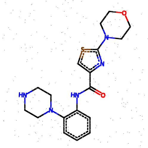 O=C(Nc1ccccc1N1CCNCC1)c1csc(N2CCOCC2)n1